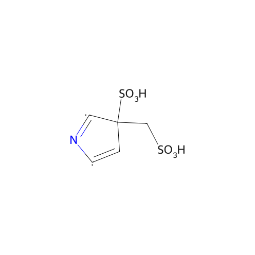 O=S(=O)(O)CC1(S(=O)(=O)O)[C]=N[C]=C1